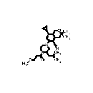 COCCC(=O)N1CCN(c2cc(C3CC3)c3c(c2C#N)CC(C)(C)OC3)CC1CC(C)C